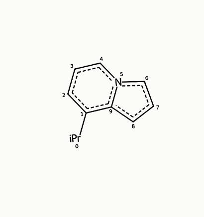 CC(C)c1cccn2cccc12